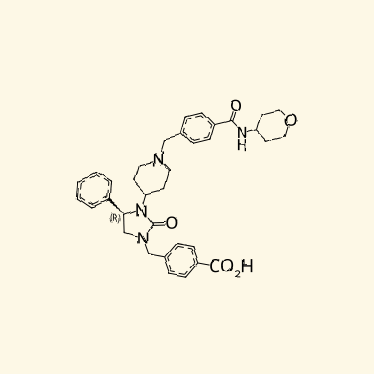 O=C(O)c1ccc(CN2C[C@@H](c3ccccc3)N(C3CCN(Cc4ccc(C(=O)NC5CCOCC5)cc4)CC3)C2=O)cc1